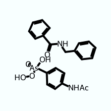 CC(=O)Nc1ccc([As](=O)(O)OO)cc1.O=C(NCc1ccccc1)c1ccccc1